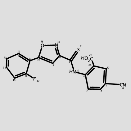 N#Cc1ccc(NC(=S)c2cc(-c3ccccc3F)on2)c(C(=O)O)c1